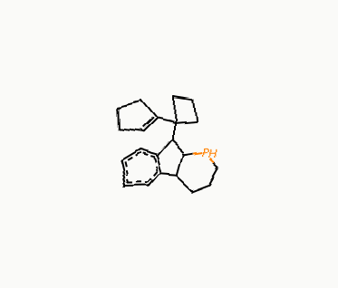 C1=C(C2(C3c4ccccc4C4CCCPC43)CCC2)CCC1